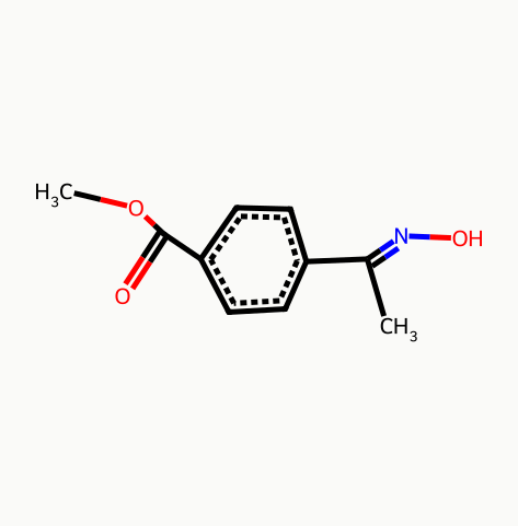 COC(=O)c1ccc(C(C)=NO)cc1